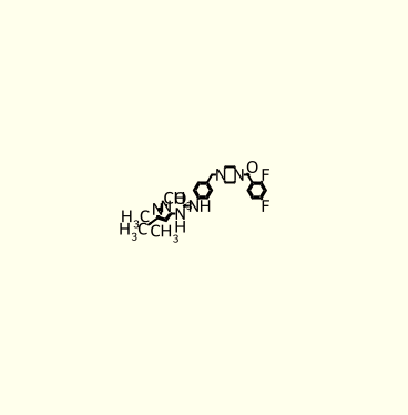 Cn1nc(C(C)(C)C)cc1NC(=O)Nc1ccc(CN2CCN(C(=O)c3ccc(F)cc3F)CC2)cc1